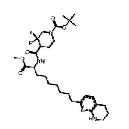 COC(=O)[C@H](CCCCCCCc1ccc2c(n1)NCCC2)NC(=O)C1CCN(C(=O)OC(C)(C)C)CC1(F)F